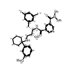 CCCN(CCC)C(=O)c1cncc(C(=O)N[C@@H](Cc2cc(F)cc(F)c2)[C@H](O)CNC2(c3cccc(OC)c3)CCCCC2)c1